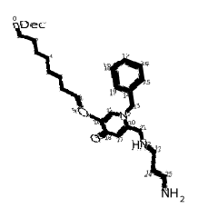 CCCCCCCCCCCCCCCCCCOc1cn(Cc2ccccc2)c(CNCCCN)cc1=O